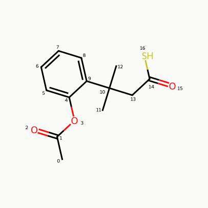 CC(=O)Oc1ccccc1C(C)(C)CC(=O)S